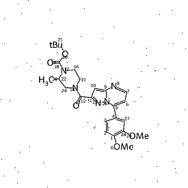 COc1ccc(-c2ccnc3cc(C(=O)N4CCN(C(=O)OC(C)(C)C)[C@H](C)C4)nn23)cc1OC